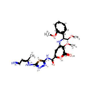 COCC(Nc1cc(C(=O)Nc2nnc(N/C(C)=C\C=N)s2)oc(=O)c1OC)c1ccccc1OC